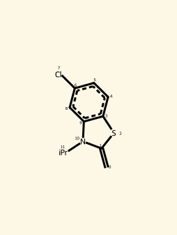 C=C1Sc2ccc(Cl)cc2N1C(C)C